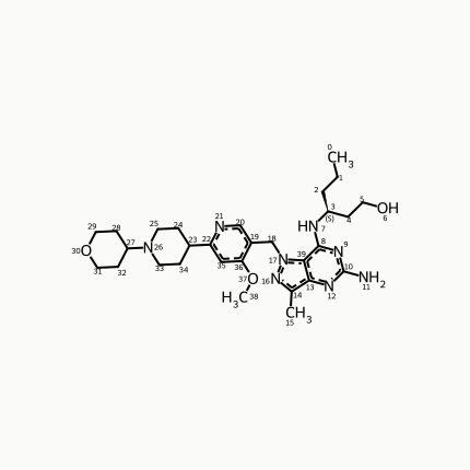 CCC[C@@H](CCO)Nc1nc(N)nc2c(C)nn(Cc3cnc(C4CCN(C5CCOCC5)CC4)cc3OC)c12